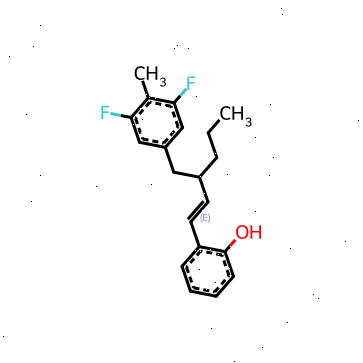 CCCC(/C=C/c1ccccc1O)Cc1cc(F)c(C)c(F)c1